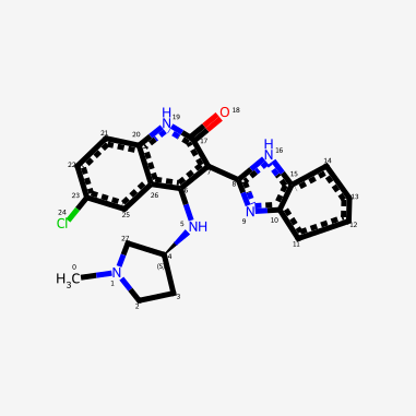 CN1CC[C@H](Nc2c(-c3nc4ccccc4[nH]3)c(=O)[nH]c3ccc(Cl)cc23)C1